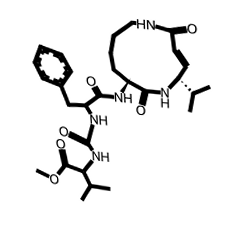 COC(=O)C(NC(=O)NC(Cc1ccccc1)C(=O)N[C@H]1CCCCNC(=O)/C=C/[C@H](C(C)C)NC1=O)C(C)C